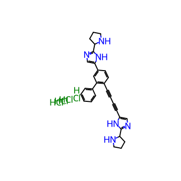 C(C#Cc1ccc(-c2cnc(C3CCCN3)[nH]2)cc1-c1ccccc1)#Cc1cnc(C2CCCN2)[nH]1.Cl.Cl.Cl.Cl